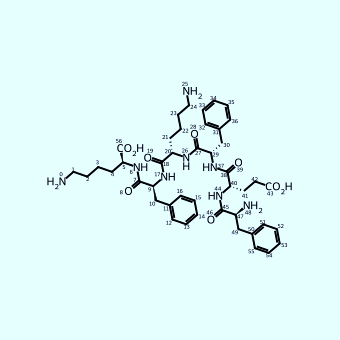 NCCCC[C@H](NC(=O)[C@H](Cc1ccccc1)NC(=O)[C@H](CCCCN)NC(=O)[C@H](Cc1ccccc1)NC(=O)[C@H](CCC(=O)O)NC(=O)[C@@H](N)Cc1ccccc1)C(=O)O